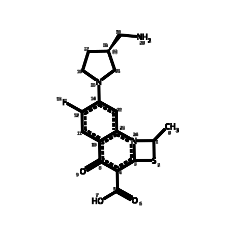 CC1Sc2c(C(=O)O)c(=O)c3cc(F)c(N4CC[C@@H](CN)C4)cc3n21